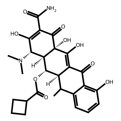 CC1c2cccc(O)c2C(=O)C2=C(O)[C@]3(O)C(=O)C(C(N)=O)=C(O)[C@@H](N(C)C)[C@@H]3[C@@H](OC(=O)C3CCC3)[C@@H]21